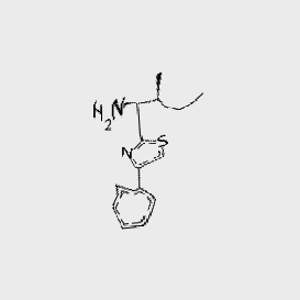 CC[C@H](C)[C@H](N)c1nc(-c2ccccc2)cs1